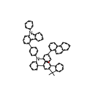 CC1(C)c2ccccc2-c2ccc(-c3ccccc3N(c3ccc(-c4cccc5c4c4ccccc4n5-c4ccccc4)cc3)c3cccc(-c4cccc5c4ccc4ccccc45)c3)cc21